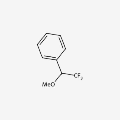 CO[C](c1ccccc1)C(F)(F)F